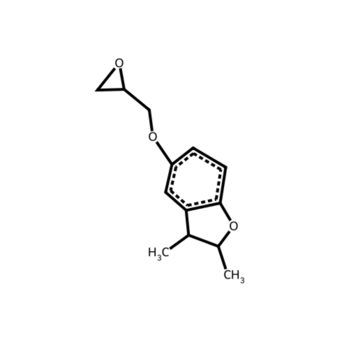 CC1Oc2ccc(OCC3CO3)cc2C1C